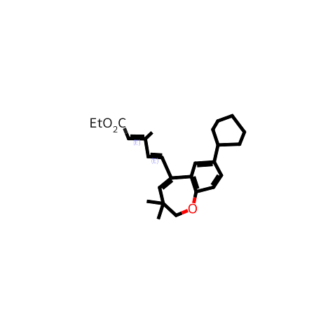 CCOC(=O)/C=C(C)/C=C/C1=CC(C)(C)COc2ccc(C3CCCCC3)cc21